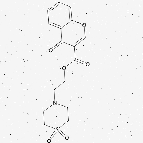 O=C(OCCN1CCS(=O)(=O)CC1)c1coc2ccccc2c1=O